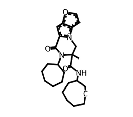 CC1(C(=O)NC2CCCCCCC2)Cn2c(cc3occc32)C(=O)N1C1CCCCCC1